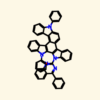 c1ccc(-c2nc(-n3c4ccccc4c4c5ccc6c(c7ccccc7n6-c6ccccc6)c5c5c6ccccc6n(-c6ccccc6)c5c43)nc3ccccc23)cc1